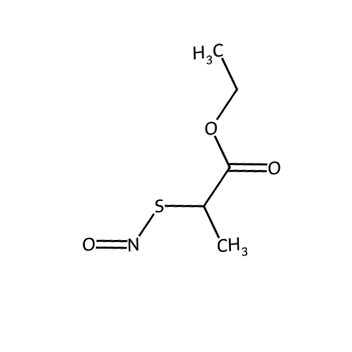 CCOC(=O)C(C)SN=O